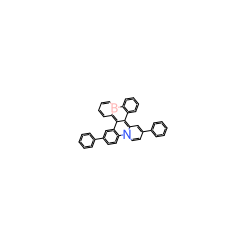 C1=CB2C(=C3C(=C4C=C(c5ccccc5)C=CN4c4ccc(-c5ccccc5)cc43)c3ccccc32)C=C1